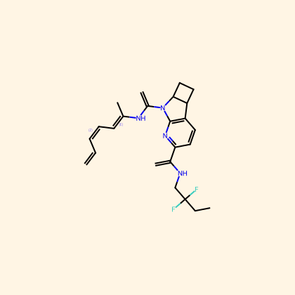 C=C/C=C\C=C(/C)NC(=C)N1c2nc(C(=C)NCC(F)(F)CC)ccc2C2CCC21